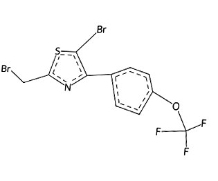 FC(F)(F)Oc1ccc(-c2nc(CBr)sc2Br)cc1